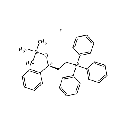 C[Si](C)(C)O[C@@H](CC[P+](c1ccccc1)(c1ccccc1)c1ccccc1)c1ccccc1.[I-]